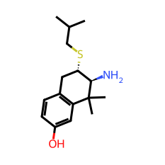 CC(C)CS[C@H]1Cc2ccc(O)cc2C(C)(C)[C@@H]1N